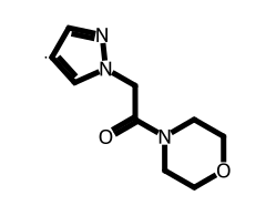 O=C(Cn1c[c]cn1)N1CCOCC1